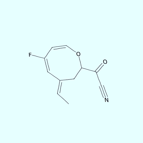 C/C=C1/C=C(F)\C=C/OC(C(=O)C#N)C1